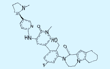 CN1CCC[C@@H]1c1ccc(Nc2cc(-c3cc(F)cc(N4CCn5c(cc6c5CCCC6)C4=O)c3CO)cn(C)c2=O)nc1